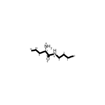 CCCCNC(=O)[C@@H](N)CCC